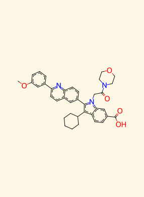 COc1cccc(-c2ccc3cc(-c4c(C5CCCCC5)c5ccc(C(=O)O)cc5n4CC(=O)N4CCOCC4)ccc3n2)c1